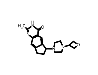 Cc1nc2cc3c(cc2c(=O)[nH]1)C(N1CCN(C2COC2)CC1)CC3